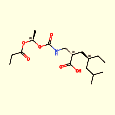 CCC(=O)O[C@@H](C)OC(=O)NC[C@H](C[C@@H](CC)CC(C)C)C(=O)O